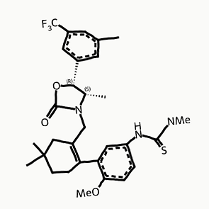 CNC(=S)Nc1ccc(OC)c(C2=C(CN3C(=O)O[C@H](c4cc(C)cc(C(F)(F)F)c4)[C@@H]3C)CC(C)(C)CC2)c1